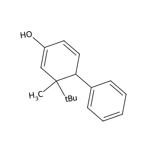 CC(C)(C)C1(C)C=C(O)C=CC1c1ccccc1